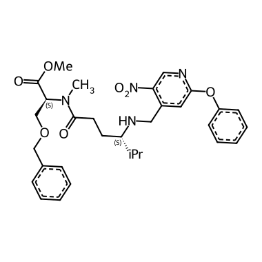 COC(=O)[C@H](COCc1ccccc1)N(C)C(=O)CC[C@H](NCc1cc(Oc2ccccc2)ncc1[N+](=O)[O-])C(C)C